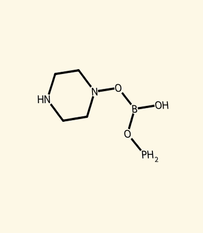 OB(OP)ON1CCNCC1